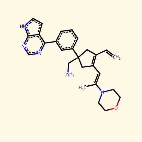 C=CC1=C(/C=C(\C)N2CCOCC2)CC(CN)(c2cccc(-c3ncnc4[nH]ccc34)c2)C1